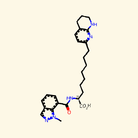 Cn1ncc2cccc(C(=O)N[C@@H](CCCCCCCc3ccc4c(n3)NCCC4)C(=O)O)c21